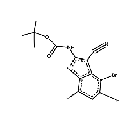 CC(C)(C)OC(=O)Nc1sc2c(F)cc(F)c(Br)c2c1C#N